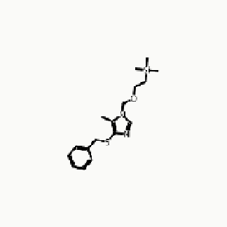 Cc1c(SCc2ccccc2)ncn1COCC[Si](C)(C)C